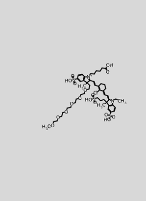 CCN1/C(=C/C=C2\CCCC(/C=C/C3=[N+](CCCCCC(=O)O)c4ccc(S(=O)(=O)O)cc4C3(C)CCOCCOCCOCCOCCOCCOC)=C2Cl)C(C)(CCCS(=O)(=O)O)c2cc(S(=O)(=O)O)ccc21